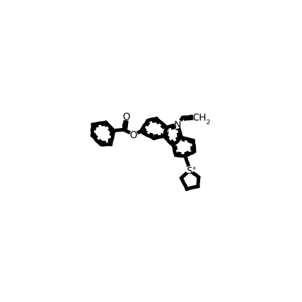 C=Cn1c2ccc(OC(=O)c3ccccc3)cc2c2cc([S+]3CCCC3)ccc21